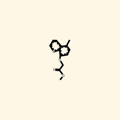 COC(=O)COc1ccc(C)c2cccnc12